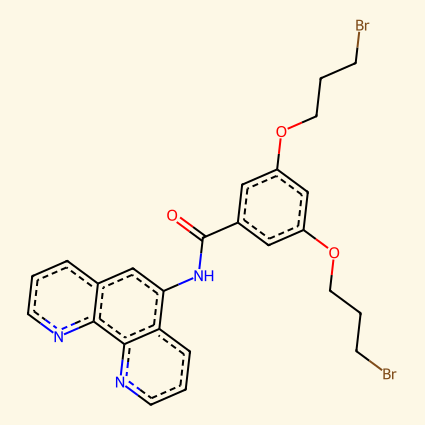 O=C(Nc1cc2cccnc2c2ncccc12)c1cc(OCCCBr)cc(OCCCBr)c1